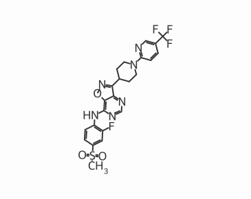 CS(=O)(=O)c1ccc(Nc2ncnc3c(C4CCN(c5ccc(C(F)(F)F)cn5)CC4)noc23)c(F)c1